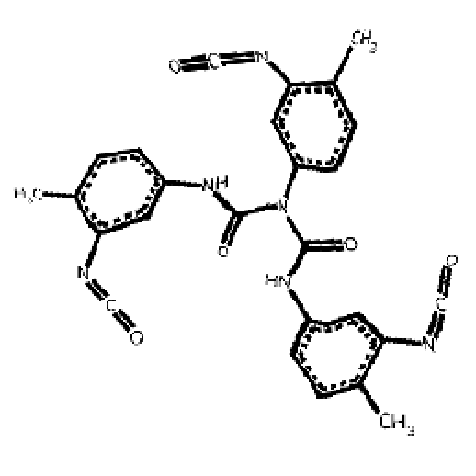 Cc1ccc(NC(=O)N(C(=O)Nc2ccc(C)c(N=C=O)c2)c2ccc(C)c(N=C=O)c2)cc1N=C=O